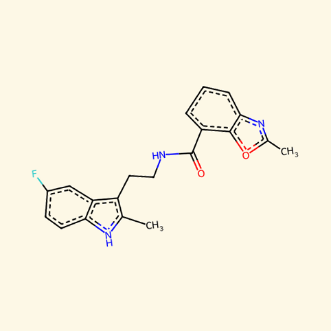 Cc1nc2cccc(C(=O)NCCc3c(C)[nH]c4ccc(F)cc34)c2o1